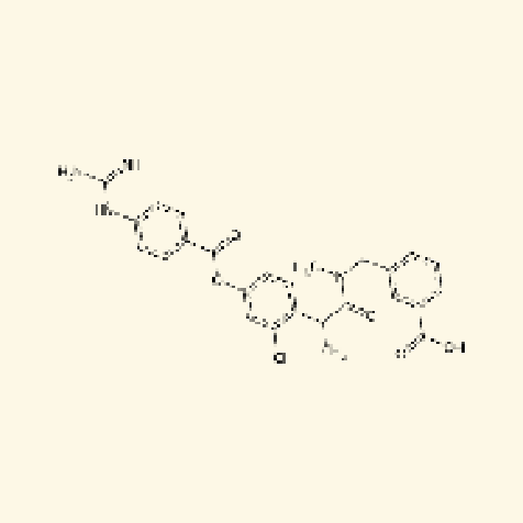 CC(C(=O)N(C)Cc1cccc(C(=O)O)c1)c1ccc(OC(=O)c2ccc(NC(=N)N)cc2)cc1Cl